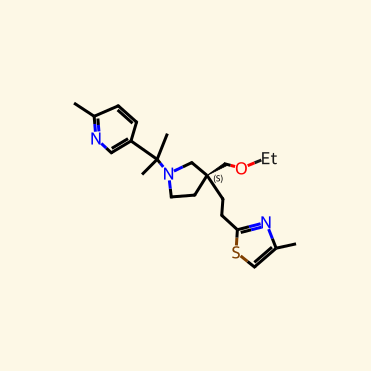 CCOC[C@@]1(CCc2nc(C)cs2)CCN(C(C)(C)c2ccc(C)nc2)C1